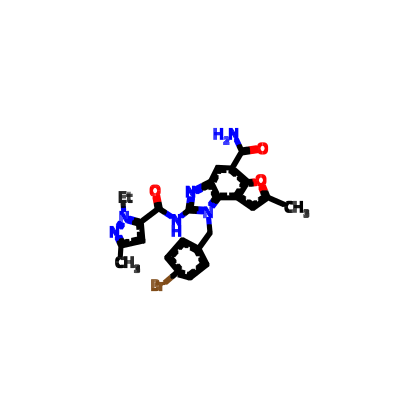 CCn1nc(C)cc1C(=O)Nc1nc2cc(C(N)=O)c3oc(C)cc3c2n1Cc1ccc(Br)cc1